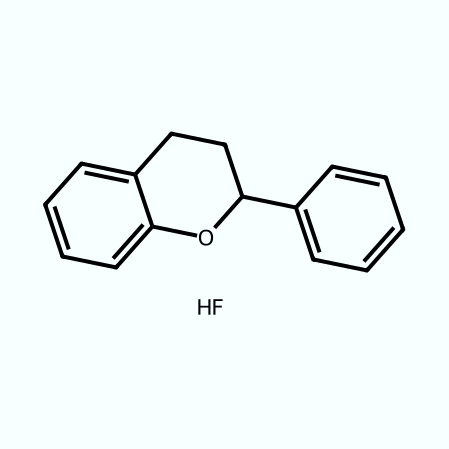 F.c1ccc(C2CCc3ccccc3O2)cc1